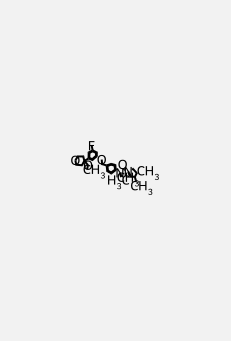 CCC1C(C)CN(C(=O)N(C)c2ccc(COc3cc(F)cc(C4(OC)CCOCC4)c3)cc2)C1C